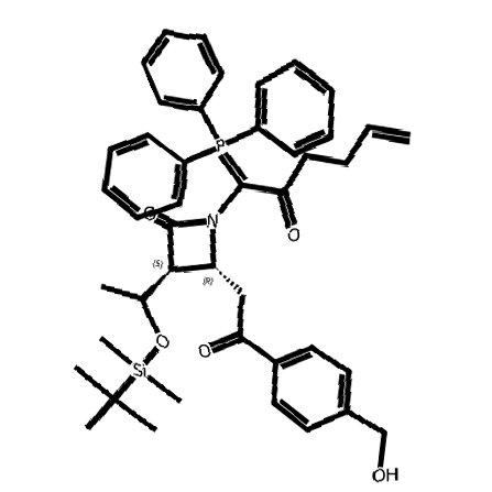 C=CCCC(=O)C(N1C(=O)[C@H](C(C)O[Si](C)(C)C(C)(C)C)[C@H]1CC(=O)c1ccc(CO)cc1)=P(c1ccccc1)(c1ccccc1)c1ccccc1